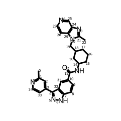 Cc1cc(-c2n[nH]c3ccc(C(=O)NC4CCCC(Cn5c(C)nc6cnccc65)C4)cc23)ccn1